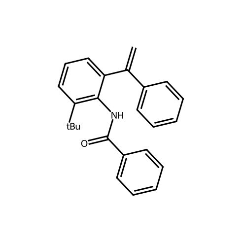 C=C(c1ccccc1)c1cccc(C(C)(C)C)c1NC(=O)c1ccccc1